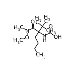 CCCCC(NC(=O)O)(C(=O)N(C)OC)C(C)(C)C